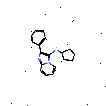 c1ccc(-c2nc3ccccn3c2NC2CCCC2)cc1